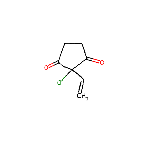 C=CC1(Cl)C(=O)CCC1=O